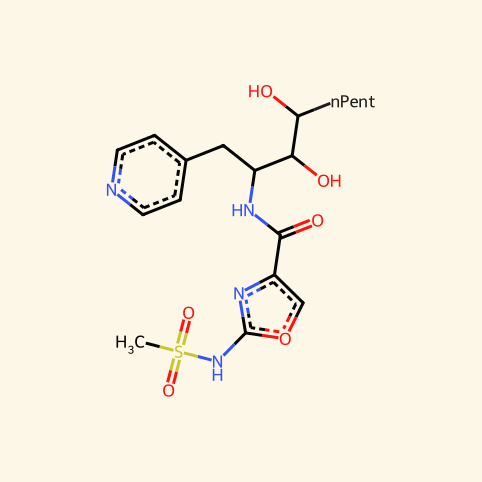 CCCCCC(O)C(O)C(Cc1ccncc1)NC(=O)c1coc(NS(C)(=O)=O)n1